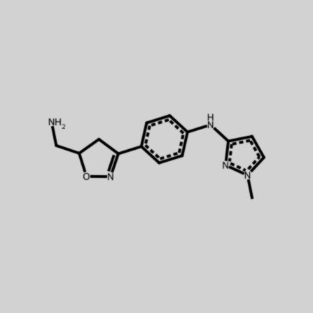 Cn1ccc(Nc2ccc(C3=NOC(CN)C3)cc2)n1